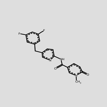 Cn1cc(C(=O)Nc2ccc(Cc3cc(F)cc(F)c3)cn2)ccc1=O